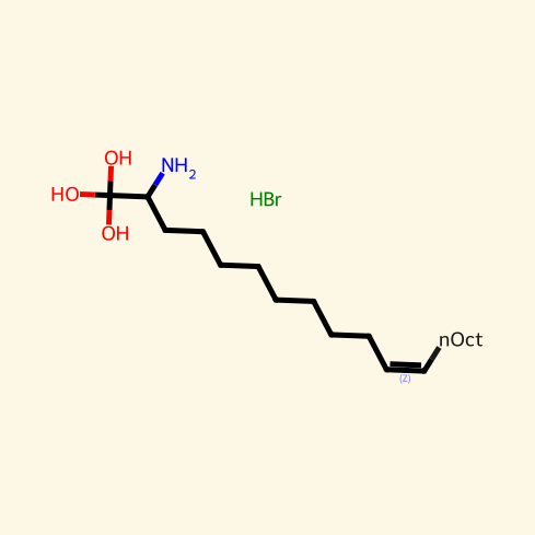 Br.CCCCCCCC/C=C\CCCCCCCCC(N)C(O)(O)O